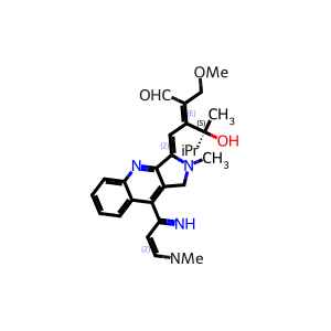 CN/C=C\C(=N)c1c2c(nc3ccccc13)/C(=C/C(=C(\C=O)COC)[C@@](C)(O)C(C)C)N(C)C2